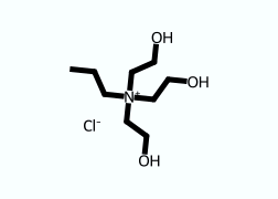 CCC[N+](CCO)(CCO)CCO.[Cl-]